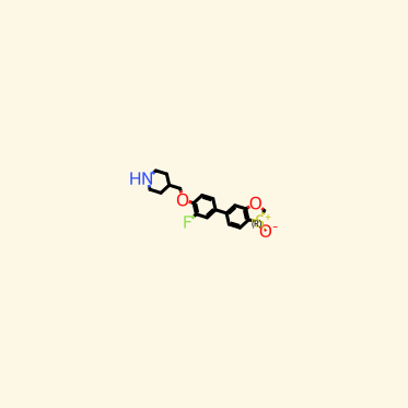 [O-][S@+]1COc2cc(-c3ccc(OCC4CCNCC4)c(F)c3)ccc21